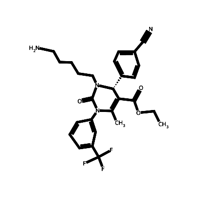 CCOC(=O)C1=C(C)N(c2cccc(C(F)(F)F)c2)C(=O)N(CCCCCN)[C@@H]1c1ccc(C#N)cc1